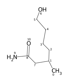 CC(CCCCO)CC(N)=O